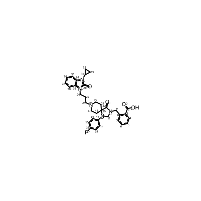 O=C(O)c1ccccc1CN1CN(c2ccc(F)cc2)C2(CCN(CCCn3c(=O)n(C4CC4)c4ccccc43)CC2)C1=O